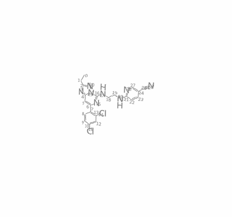 CCc1nc2cc(-c3ccc(Cl)cc3Cl)nc(NCCNc3ccc(C#N)cn3)n2n1